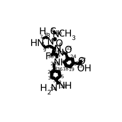 CN(C)C(=O)N1CCNCC1c1nn(C(=O)c2cccc(C(=O)O)c2)c(NCc2ccc(C(=N)N)cc2)c1F